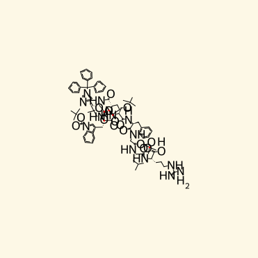 CC(C)C[C@H](NC(=O)CNC(=O)[C@H](Cc1ccc(OC(C)(C)C)cc1)NC(=O)[C@H](COC(C)(C)C)NC(=O)[C@H](Cc1cn(C(=O)OC(C)(C)C)c2ccccc12)NC(=O)[C@H](Cc1cn(C(c2ccccc2)(c2ccccc2)c2ccccc2)cn1)NC(=O)[C@@H]1CCC(=O)N1C(=O)OC(C)(C)C)C(=O)N[C@@H](CCCNC(=N)N)C(=O)O